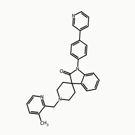 Cc1cccnc1CN1CCC2(CC1)C(=O)N(c1ccc(-c3cccnc3)cc1)c1ccccc12